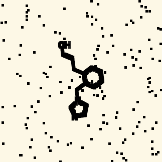 OC=CCc1ccccc1Cn1ccnc1